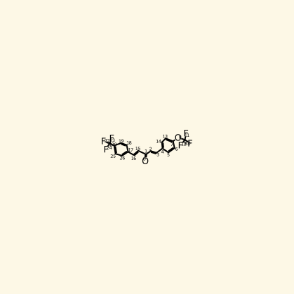 O=C(/C=C/c1ccc(OC(F)(F)F)cc1)/C=C/c1ccc(C(F)(F)F)cc1